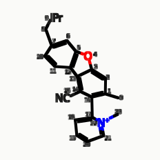 Cc1cc2oc3cc(CC(C)C)ccc3c2c(C#N)c1-c1cccc[n+]1C